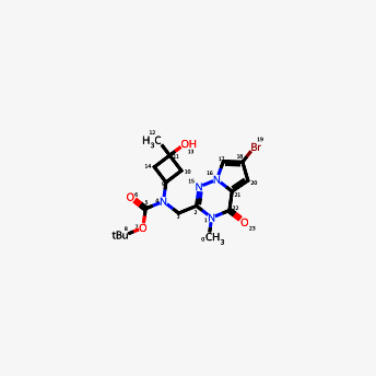 Cn1c(CN(C(=O)OC(C)(C)C)C2CC(C)(O)C2)nn2cc(Br)cc2c1=O